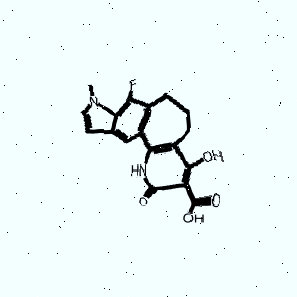 Cn1ccc2cc3c(c(F)c21)CCCc1c-3[nH]c(=O)c(C(=O)O)c1O